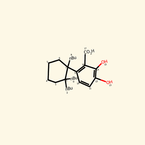 CCCCC1(CCCC)CCCCC1(CCCC)c1ccc(O)c(O)c1C(=O)O